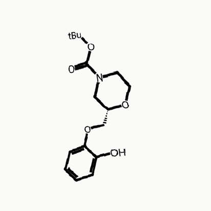 CC(C)(C)OC(=O)N1CCO[C@H](COc2ccccc2O)C1